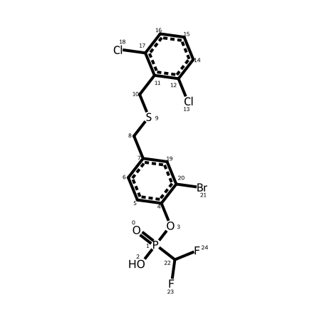 O=P(O)(Oc1ccc(CSCc2c(Cl)cccc2Cl)cc1Br)C(F)F